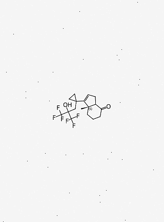 C[C@]12CCCC(=O)C1CC=C2C1(CC(O)(C(F)(F)F)C(F)(F)F)CC1